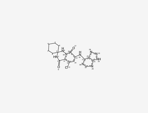 O=C1NC2(CCCCC2)Nn2c1c(Cl)cc(Nc1ncnc3[nH]nnc13)c2=O